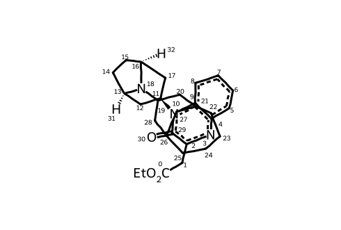 CCOC(=O)Cc1nc2ccccc2n([C@H]2C[C@H]3CC[C@@H](C2)N3C2CC3CCCCC(C3)C2)c1=O